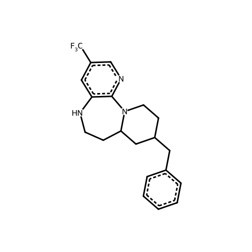 FC(F)(F)c1cnc2c(c1)NCCC1CC(Cc3ccccc3)CCN21